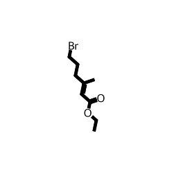 CCOC(=O)/C=C(\C)CCCBr